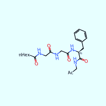 CCCCCCC(=O)NCC(=O)NCC(=O)N[C@@H](Cc1ccccc1)C(=O)NCC(C)=O